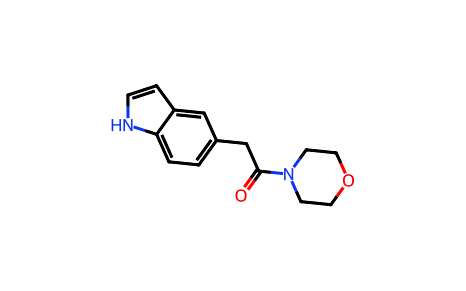 O=C(Cc1ccc2[nH]ccc2c1)N1CCOCC1